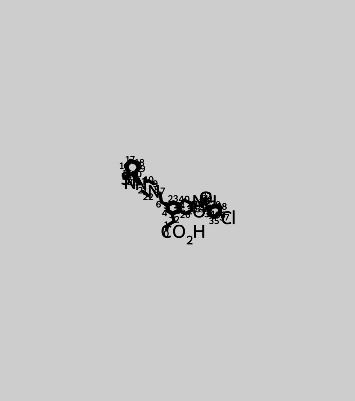 O=C(O)CCc1cc(CCN2CCN(c3nsc4ccccc34)CC2)cc2c1CCC(NS(=O)(=O)c1ccc(Cl)cc1)C2